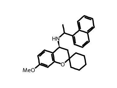 COc1ccc2c(c1)OC1(CCCCC1)C[C@@H]2NC(C)c1cccc2ccccc12